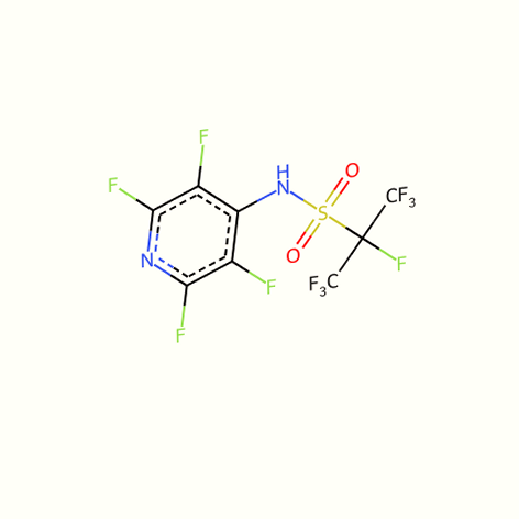 O=S(=O)(Nc1c(F)c(F)nc(F)c1F)C(F)(C(F)(F)F)C(F)(F)F